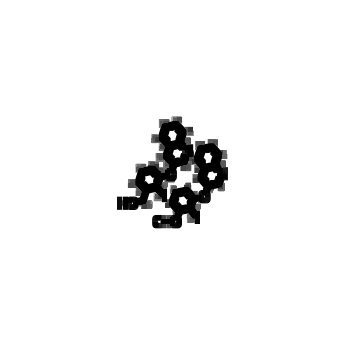 O=Cc1cccc(Oc2cnc3ccccc3c2)c1I.OCc1cccc(Oc2cnc3ccccc3c2)c1I